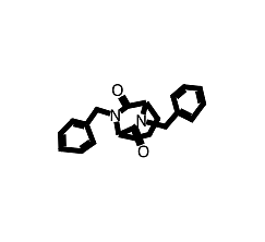 O=C1C2CCCC(C(=O)N2Cc2ccccc2)N1Cc1ccccc1